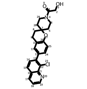 O=C(CO)N1CCC2(CCc3cc(-c4ccc5cccnc5c4Cl)ccc3O2)CC1